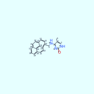 Cc1c[nH]c(=O)nc1NCc1ccc2ccc3cccc4ccc1c2c34